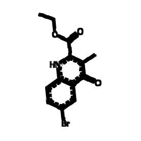 CCOC(=O)c1[nH]c2ccc(Br)cc2c(=O)c1C